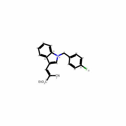 CCOC(=O)/C(C#N)=C/c1cn(Cc2ccc(F)cc2)c2ccccc12